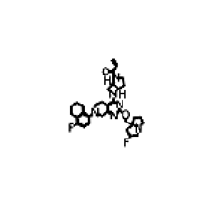 C=CC(=O)N1CC[C@@H]2[C@H]1CN2c1nc(OC[C@@]23CCCN2C[C@H](F)C3)nc2c1CCN(c1ccc(F)c3c1CCCC3)C2